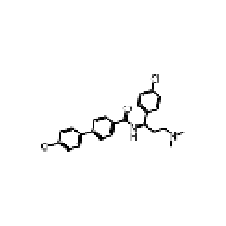 CN(C)CCC(NC(=O)c1ccc(-c2ccc(Cl)cc2)cc1)c1ccc(Cl)cc1